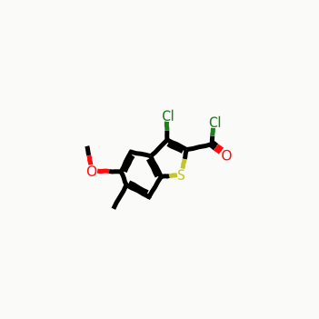 COc1cc2c(Cl)c(C(=O)Cl)sc2cc1C